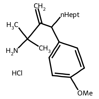 C=C(C(CCCCCCC)c1ccc(OC)cc1)C(C)(C)N.Cl